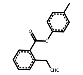 Cc1ccc(OC(=O)c2ccccc2C[C]=O)cc1